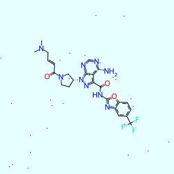 CN(C)CC=CC(=O)N1CC[C@@H](n2nc(C(=O)Nc3nc4cc(C(F)(F)F)ccc4o3)c3c(N)ncnc32)C1